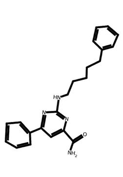 NC(=O)c1cc(-c2ccccc2)nc(NCCCCCc2ccccc2)n1